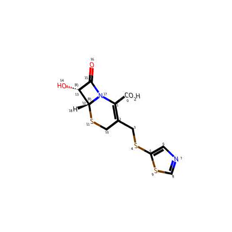 O=C(O)C1=C(CSc2cncs2)CS[C@@H]2[C@H](O)C(=O)N12